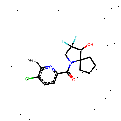 COc1nc(C(=O)N2CC(F)(F)C(O)C23CCCC3)ccc1Cl